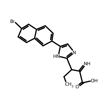 CCC(C(=N)C(=O)O)c1ncc(-c2ccc3cc(Br)ccc3c2)[nH]1